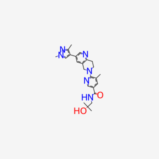 Cc1cc(C(=O)NCC(C)(C)O)cnc1N1CCc2ncc(-c3cn(C)nc3C)cc2C1